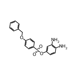 Nc1ccc(OS(=O)(=O)c2ccc(OCc3ccccc3)cc2)cc1N